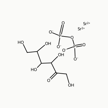 O=C(CO)C(O)C(O)C(O)CO.O=P([O-])([O-])OP(=O)([O-])[O-].[Sr+2].[Sr+2]